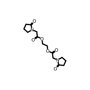 O=C(CN1CCCC1=O)OCCOC(=O)CN1CCCC1=O